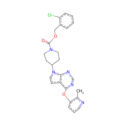 Cc1ncccc1Oc1ncnc2c1ccn2C1CCN(C(=O)OCc2ccccc2Cl)CC1